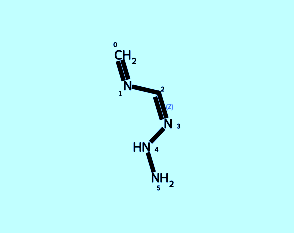 C=N/C=N\NN